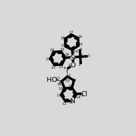 CC(C)(C)[Si](OC[C@@H]1Cc2c(ccnc2Cl)[C@@H]1O)(c1ccccc1)c1ccccc1